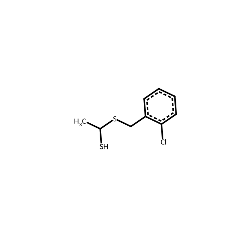 CC(S)SCc1ccccc1Cl